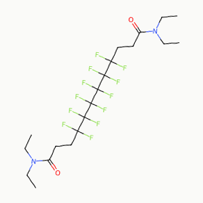 CCN(CC)C(=O)CCC(F)(F)C(F)(F)C(F)(F)C(F)(F)C(F)(F)C(F)(F)CCC(=O)N(CC)CC